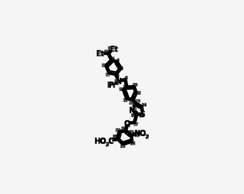 CCC(CC)c1ccc(N(Cc2ccc(-c3csc(COc4cc(C(=O)O)ccc4[N+](=O)[O-])n3)cc2)C(C)C)cc1